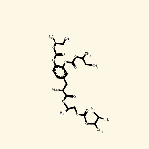 CCC(C)OC(=O)Oc1cc(C[C@H](N)C(=O)OC(C)COC(=O)OC(C)C(C)C)ccc1OC(=O)O[C@@H](C)CC